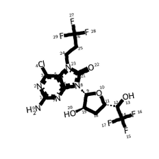 Nc1nc(Cl)c2c(n1)n([C@@H]1O[C@H](C(O)C(F)(F)F)C[C@H]1O)c(=O)n2CCC(F)(F)F